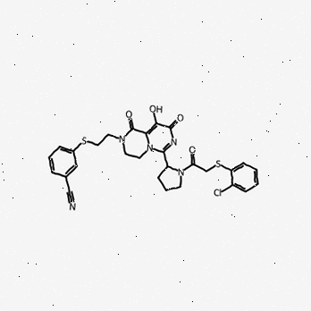 N#Cc1cccc(SCCN2CCn3c(C4CCCN4C(=O)CSc4ccccc4Cl)nc(=O)c(O)c3C2=O)c1